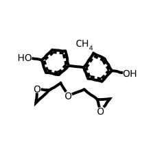 C.C(OCC1CO1)C1CO1.Oc1ccc(-c2ccc(O)cc2)cc1